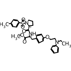 CCN(CCOc1ccc(C[C@H](NC(=O)[C@@H]2CCCN2S(=O)(=O)c2ccc(C)cc2)C(=O)OC)cc1)c1ccccc1